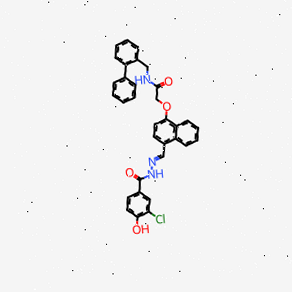 O=C(COc1ccc(/C=N/NC(=O)c2ccc(O)c(Cl)c2)c2ccccc12)NCc1ccccc1-c1ccccc1